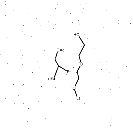 CCCCC(CC)COC(C)=O.CCOCCOCCO